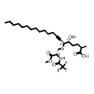 CCCCCCCCCCCCC#C[C@H](SC[C@H](NC(=O)C(F)(F)F)C(=O)OC)[C@H](O)CCC(C)C(=O)O